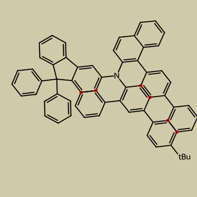 CC(C)(C)c1ccc(-c2ccc(N(c3ccc4c(c3)-c3ccccc3C4(c3ccccc3)c3ccccc3)c3ccc4ccccc4c3-c3ccc(-c4ccccc4)cc3)c(-c3ccccc3)c2)cc1